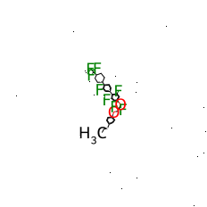 CCCc1ccc(OCC(F)(F)Oc2cc(F)c(-c3ccc(C4CCC(C(F)(F)F)CC4)c(F)c3)c(F)c2)cc1